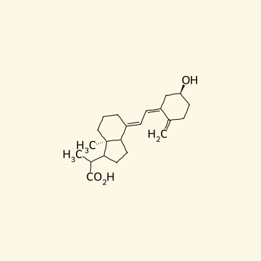 C=C1CC[C@H](O)C/C1=C/C=C1\CCC[C@@]2(C)C1CCC2C(C)C(=O)O